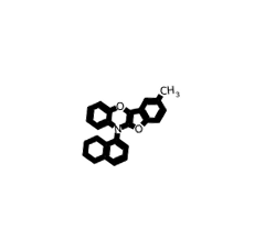 Cc1ccc2oc3c(c2c1)Oc1ccccc1N3c1cccc2c1CCCC2